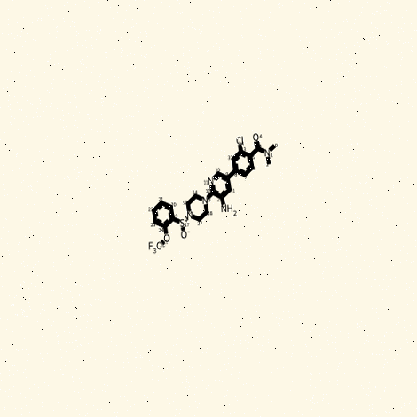 CN(C)C(=O)c1ccc(-c2cnc(N3CCN([S+]([O-])c4ccccc4OC(F)(F)F)CC3)c(N)c2)cc1Cl